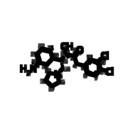 CN(C(=O)Cc1ccc(Cl)c(Cl)c1)[C@H](CN1CCCC1)C1C=CC=C(N)C1